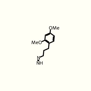 COc1ccc(CCCN=N)c(OC)c1